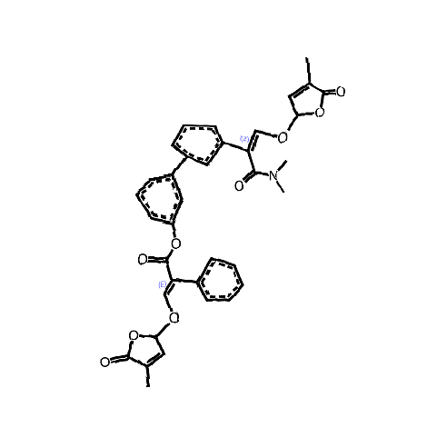 CC1=CC(O/C=C(\C(=O)N(C)C)c2cccc(-c3cccc(OC(=O)/C(=C/OC4C=C(C)C(=O)O4)c4ccccc4)c3)c2)OC1=O